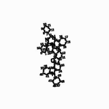 c1ccc(-c2nc(-c3ccccc3)nc(-c3ccccc3-n3c4ccccc4c4c5oc6c(ccc7c6c6ccccc6n7-c6ccccc6)c5ccc43)n2)cc1